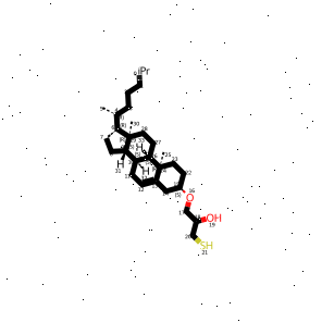 CC(C)CCC[C@@H](C)[C@H]1CC[C@H]2[C@@H]3CC=C4C[C@@H](OCC(O)CS)CC[C@]4(C)[C@H]3CC[C@]12C